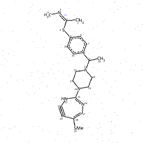 C/N=C(/C)Sc1ccc(C(C)N2CCN(C3=NC=C(SC)C#CN3)CC2)cc1